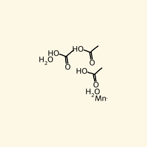 CC(=O)O.CC(=O)O.CC(=O)O.O.O.[Mn]